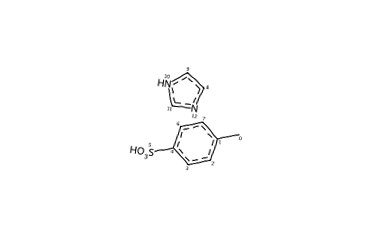 Cc1ccc(S(=O)(=O)O)cc1.c1c[nH]cn1